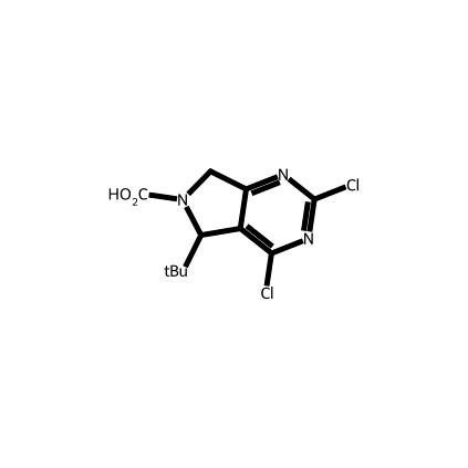 CC(C)(C)C1c2c(Cl)nc(Cl)nc2CN1C(=O)O